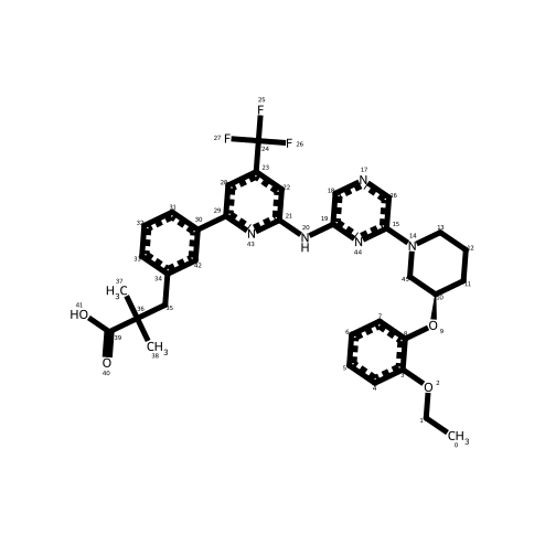 CCOc1ccccc1O[C@@H]1CCCN(c2cncc(Nc3cc(C(F)(F)F)cc(-c4cccc(CC(C)(C)C(=O)O)c4)n3)n2)C1